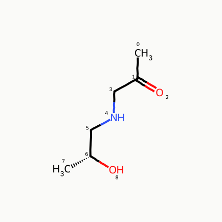 CC(=O)CNC[C@@H](C)O